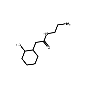 NCCNC(=O)CC1CCCCC1O